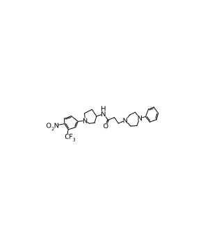 O=C(CCN1CCN(c2ccccc2)CC1)NC1CCN(c2ccc([N+](=O)[O-])c(C(F)(F)F)c2)CC1